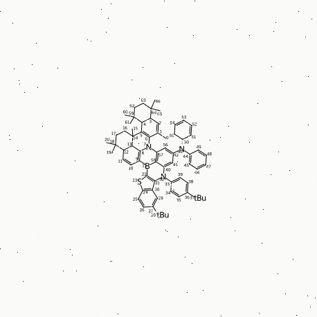 CC1=CC2C(C3=C1N1C4=C(C=CC5C4C3(C)CCC5(C)C)B3c4sc5ccc(C(C)(C)C)cc5c4N(c4ccc(C(C)(C)C)cc4)c4cc(N(c5ccccc5)[C@H]5C=CC=CC5)cc1c43)C(C)(C)CCC2(C)C